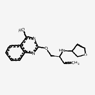 C=C[C@@H](COc1nc(O)c2ccccc2n1)NC1CCOC1